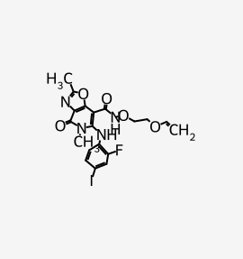 C=COCCONC(=O)c1c(Nc2ccc(I)cc2F)n(C)c(=O)c2nc(C)oc12